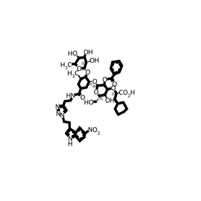 CC1O[C@@H](OC2[C@H](C)CC(C(=O)NCCc3cn(CCc4c[nH]c5ccc([N+](=O)[O-])cc45)nn3)C[C@H]2O[C@@H]2O[C@@H](CO)[C@H](O)C(O[C@@H](CC3CCCCC3)C(=O)O)C2OC(=O)c2ccccc2)[C@@H](O)C(O)[C@@H]1O